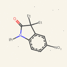 CCC1(CC)C(=O)N(C(C)C)c2ccc([N+](=O)[O-])cc21